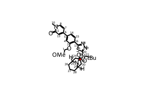 COCOc1cc(-c2ccn(C)c(=O)c2)ccc1-c1nnc(N(C)C2C[C@H]3CCC[C@@H](C2)N3C(=O)OC(C)(C)C)s1